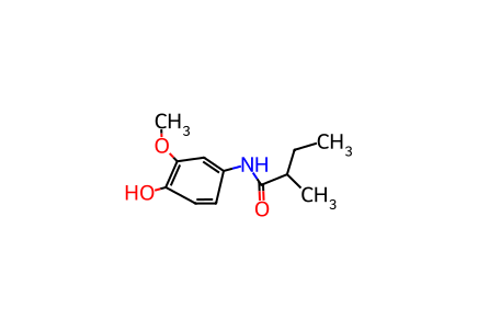 CCC(C)C(=O)Nc1ccc(O)c(OC)c1